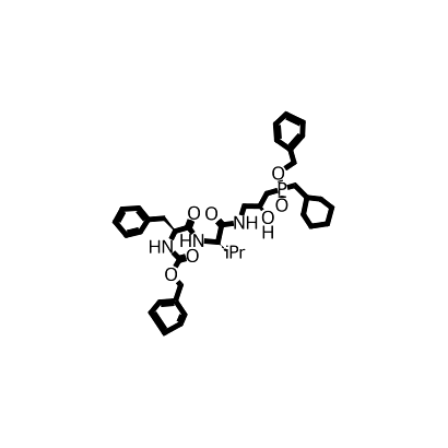 CC(C)[C@H](NC(=O)[C@H](Cc1ccccc1)NC(=O)OCc1ccccc1)C(=O)NC[C@H](O)CP(=O)(CC1CCCCC1)OCc1ccccc1